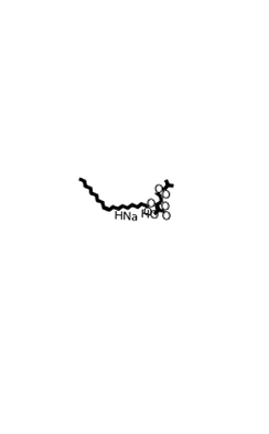 CCCCCCCC/C=C\CCCCCCCC(=O)OC1=C(O)C(=O)OC1C1COC(C(C)C)O1.[NaH]